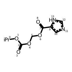 CC(C)OC(=O)OCOC(=O)c1cnc[nH]1